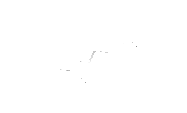 CCC(C#N)CC=CCC(C#N)CC